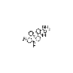 CN(C)C1CCC(NC2CCc3[nH]c4c(C(N)=O)ccc(-c5ccccc5F)c4c3C2)CC1